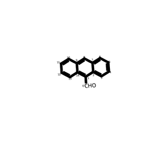 O=Cc1c2cc[c]cc2cc2ccccc12